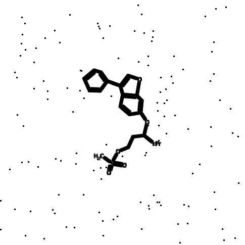 CCCC(CCOS(C)(=O)=O)Oc1ccc2c(-c3ccccc3)coc2c1